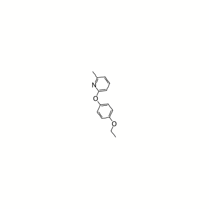 CCOc1ccc(Oc2cccc(C)n2)cc1